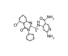 C[C@H](Nc1cc(N)ncc1C(N)=O)c1nc2cccc(Cl)c2c(=O)n1-c1ccccc1